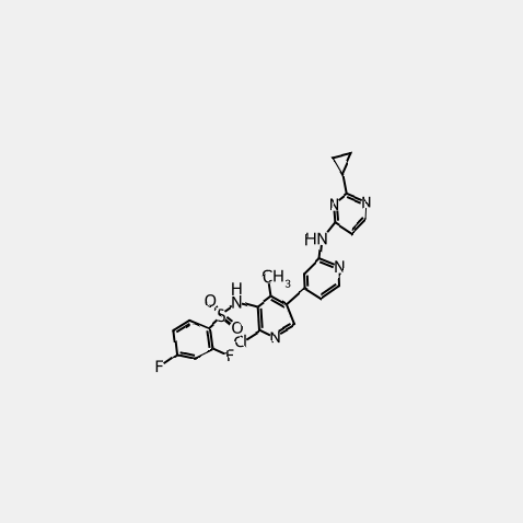 Cc1c(-c2ccnc(Nc3ccnc(C4CC4)n3)c2)cnc(Cl)c1NS(=O)(=O)c1ccc(F)cc1F